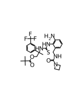 CC(C)(C)C(=O)OCC(C)(NC(=S)Nc1c(N)cccc1CNC(=O)N1CCC1)c1cccc(C(F)(F)F)c1